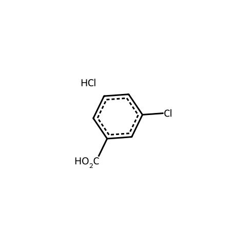 Cl.O=C(O)c1cccc(Cl)c1